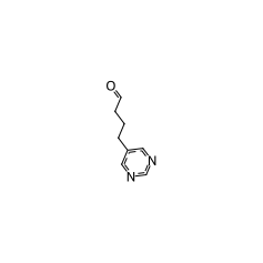 O=CCCCc1cncnc1